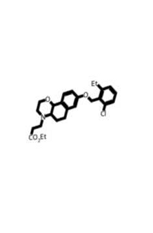 CCOC(=O)CCN1CCOC2c3ccc(OCc4c(Cl)cccc4CC)cc3CCC21